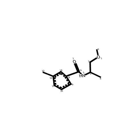 COCC(C)NC(=O)c1cccc(C)c1